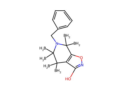 BC1(B)c2onc(O)c2C(B)(B)C(B)(B)N1Cc1ccccc1